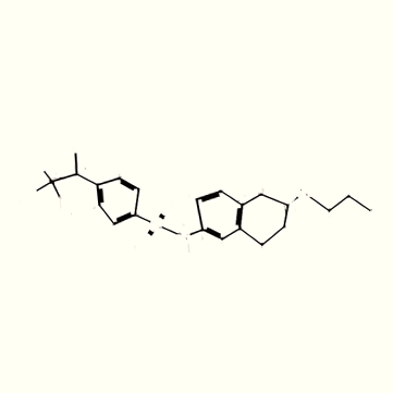 CCCN[C@H]1CCc2cc(NS(=O)(=O)c3ccc(C(C)C(F)(F)F)cc3)ccc2C1